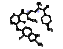 C=N/C(=C\C=C(/C)C(=O)N1CCN(C)CC1)Nc1ncnc(Oc2ccc3[nH]c(C)cc3c2F)c1F